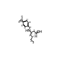 CSCCC(CNO)NCc1ccc(N(C)C)cc1